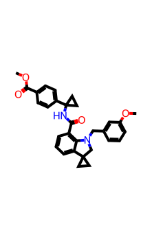 COC(=O)c1ccc(C2(NC(=O)c3cccc4c3N(Cc3cccc(OC)c3)CC43CC3)CC2)cc1